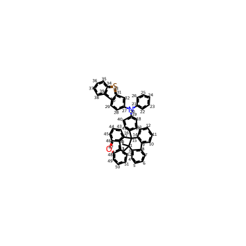 CC1(C)c2ccccc2-c2ccccc2C1(c1ccc(N(c2ccccc2)c2ccc3c(c2)sc2ccccc23)cc1)c1cccc2oc3ccccc3c12